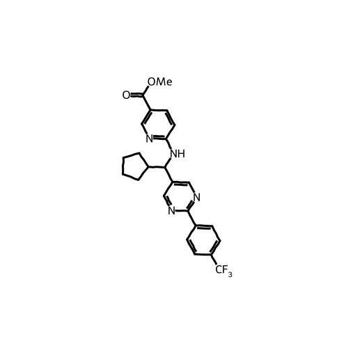 COC(=O)c1ccc(NC(c2cnc(-c3ccc(C(F)(F)F)cc3)nc2)C2CCCC2)nc1